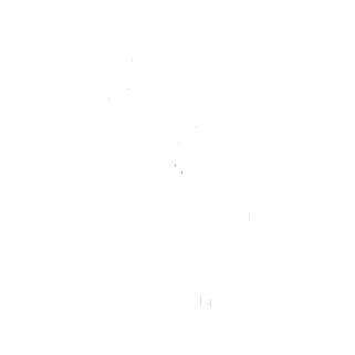 COC(=O)/C=C1\Sc2ccccc2N(Cc2ccc(Br)cc2F)C1=O